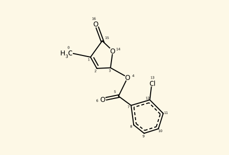 CC1=CC(OC(=O)c2ccccc2Cl)OC1=O